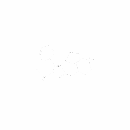 NC(=O)n1nc(CC2CCC(F)(F)CC2)c(C2(O)CCCC2)c1N1C=CC=CO1